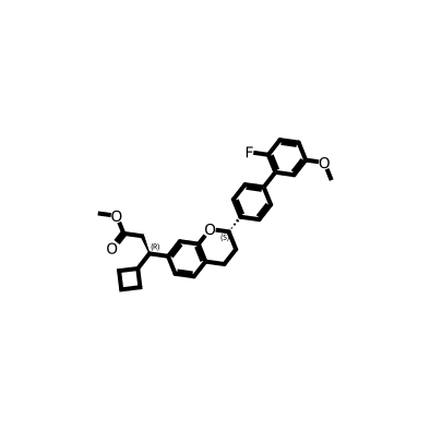 COC(=O)C[C@@H](c1ccc2c(c1)O[C@H](c1ccc(-c3cc(OC)ccc3F)cc1)CC2)C1CCC1